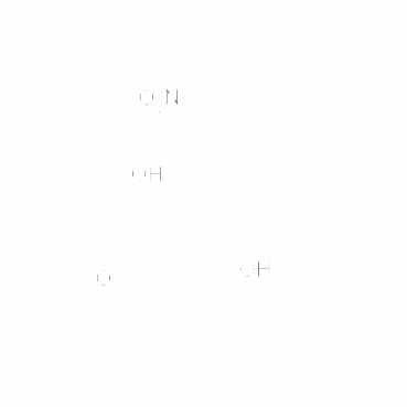 O=[N+]([O-])c1ccccc1.OC1COC1O